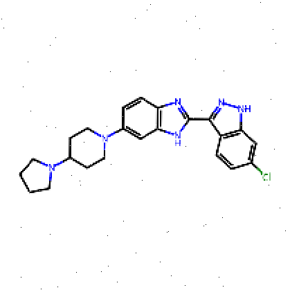 Clc1ccc2c(-c3nc4ccc(N5CCC(N6CCCC6)CC5)cc4[nH]3)n[nH]c2c1